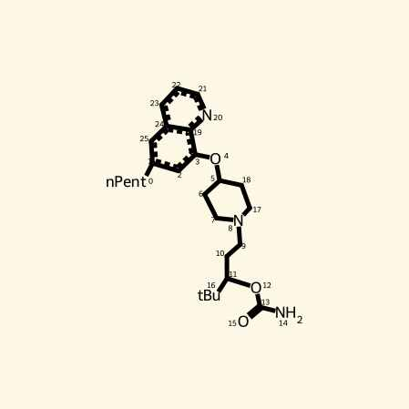 CCCCCc1cc(OC2CCN(CCC(OC(N)=O)C(C)(C)C)CC2)c2ncccc2c1